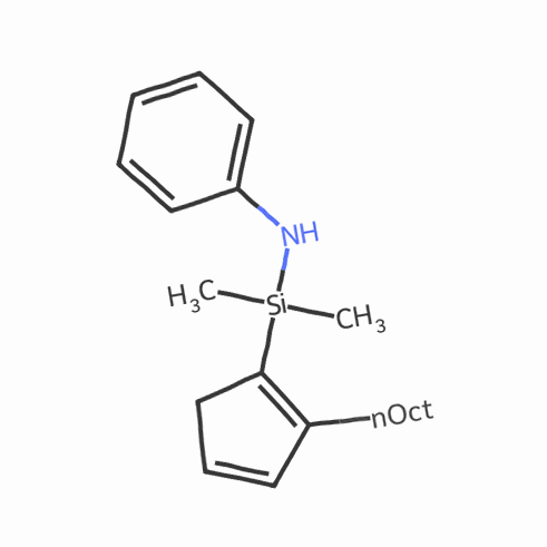 CCCCCCCCC1=C([Si](C)(C)Nc2ccccc2)CC=C1